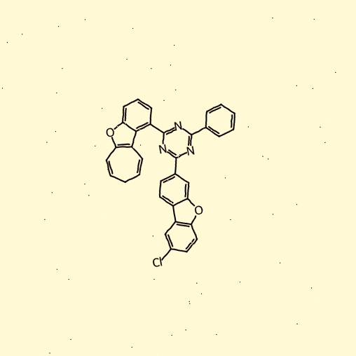 Clc1ccc2oc3cc(-c4nc(-c5ccccc5)nc(-c5cccc6oc7c(c56)C=CCC=C7)n4)ccc3c2c1